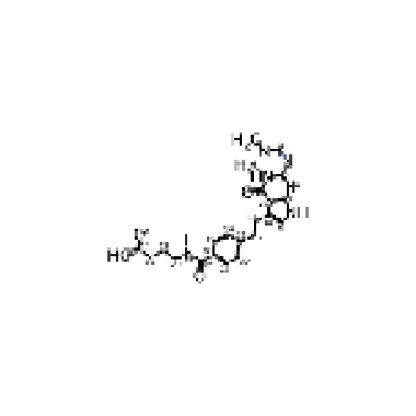 CN(C)/C=N\c1nc2[nH]cc(CCc3ccc(C(=O)NCCCC(=O)O)cc3)c2c(=O)[nH]1